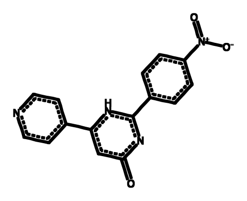 O=c1cc(-c2ccncc2)[nH]c(-c2ccc([N+](=O)[O-])cc2)n1